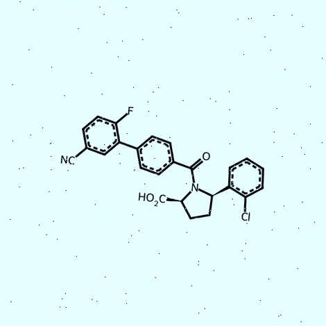 N#Cc1ccc(F)c(-c2ccc(C(=O)N3[C@@H](c4ccccc4Cl)CC[C@H]3C(=O)O)cc2)c1